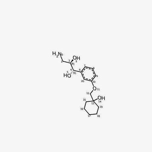 NC[C@@H](O)[C@@H](O)c1cccc(OCC2(O)CCCCC2)c1